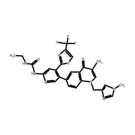 CCNC(=O)Nc1cc(-c2nc(C(F)(F)F)cs2)c(-c2ccc3c(c2)c(=O)c(C)cn3Cc2cn(C)cn2)cn1